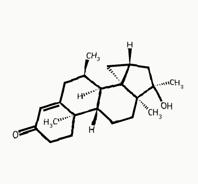 C[C@@H]1CC2=CC(=O)CC[C@]2(C)[C@H]2CC[C@@]3(C)[C@@]4(C[C@@H]4C[C@@]3(C)O)[C@H]12